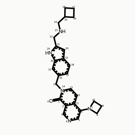 O=c1c2cncc(N3CCC3)c2ccn1Cc1ccc2cc(CNCC3CCC3)[nH]c2c1